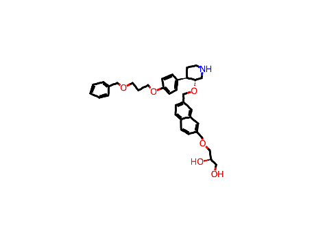 OC[C@@H](O)COCc1ccc2ccc(CO[C@H]3CNCC[C@@H]3c3ccc(OCCCOCc4ccccc4)cc3)cc2c1